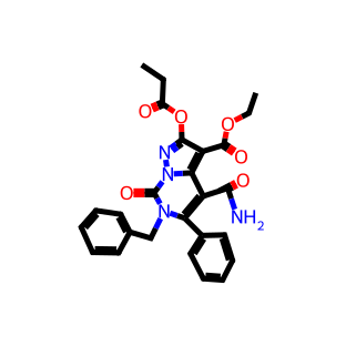 CCOC(=O)c1c(OC(=O)CC)nn2c(=O)n(Cc3ccccc3)c(-c3ccccc3)c(C(N)=O)c12